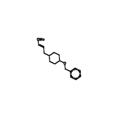 CO/C=C/CC1CCC(OCc2ccccc2)CC1